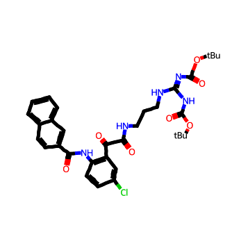 CC(C)(C)OC(=O)/N=C(/NCCCNC(=O)C(=O)c1cc(Cl)ccc1NC(=O)c1ccc2ccccc2c1)NC(=O)OC(C)(C)C